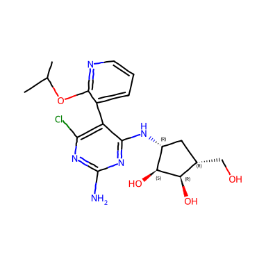 CC(C)Oc1ncccc1-c1c(Cl)nc(N)nc1N[C@@H]1C[C@H](CO)[C@@H](O)[C@H]1O